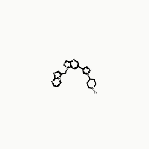 CCN1CCC(n2cc(-c3cnc4cnn(Cc5cnc6ncccn56)c4c3)cn2)CC1